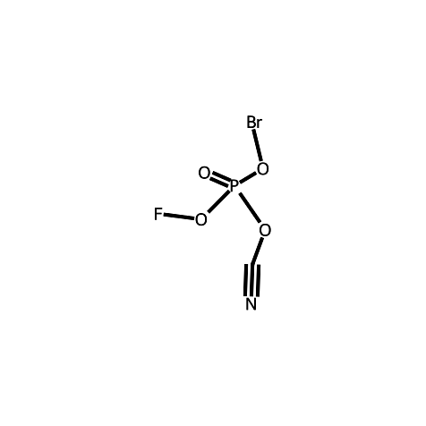 N#COP(=O)(OF)OBr